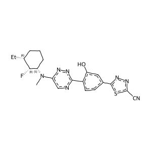 CC[C@@H]1CCC[C@H](N(C)c2cnc(-c3ccc(-c4nnc(C#N)s4)cc3O)nn2)[C@@H]1F